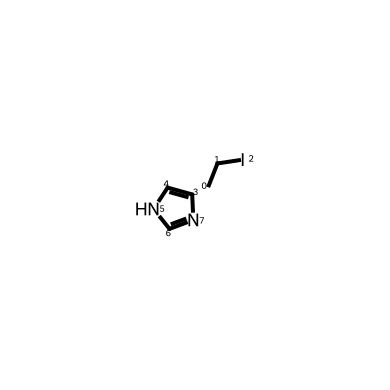 CCI.c1c[nH]cn1